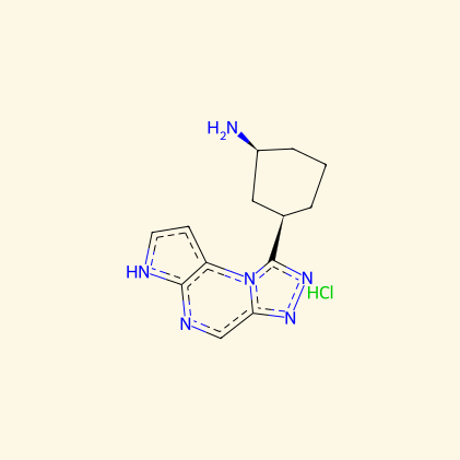 Cl.N[C@H]1CCC[C@@H](c2nnc3cnc4[nH]ccc4n23)C1